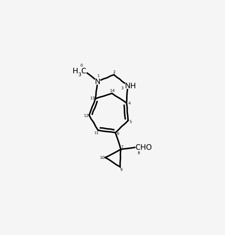 CN1CNC2=CC(C3(C=O)CC3)=CC=C1C2